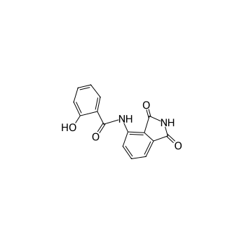 O=C(Nc1cccc2c1C(=O)NC2=O)c1ccccc1O